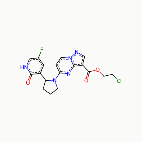 O=C(OCCCl)c1cnn2ccc(N3CCCC3c3cc(F)c[nH]c3=O)nc12